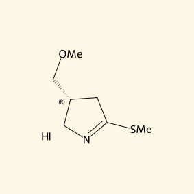 COC[C@H]1CN=C(SC)C1.I